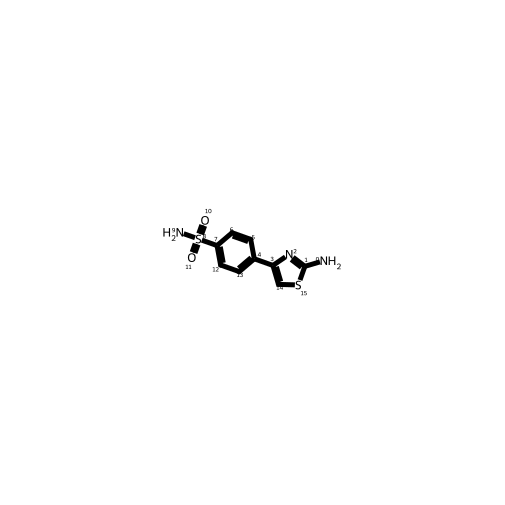 Nc1nc(-c2ccc(S(N)(=O)=O)cc2)cs1